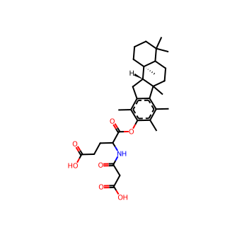 Cc1c(C)c2c(c(C)c1OC(=O)C(CCC(=O)O)NC(=O)CC(=O)O)C[C@H]1C2(C)CCC2C(C)(C)CCC[C@@]21C